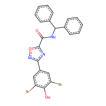 O=C(NC(c1ccccc1)c1ccccc1)c1nc(-c2cc(Br)c(O)c(Br)c2)no1